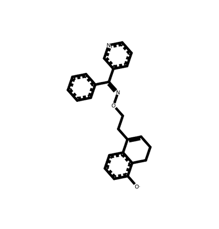 [O]c1cccc2c1CCC=C2CCO/N=C(\c1ccccc1)c1cccnc1